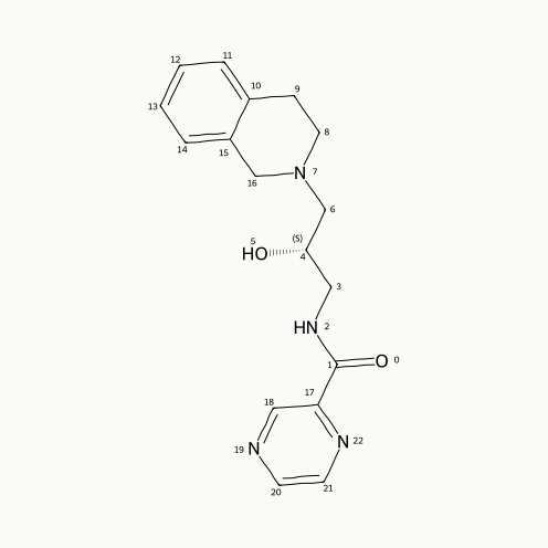 O=C(NC[C@H](O)CN1CCc2ccccc2C1)c1cnccn1